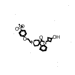 CS(=O)(=O)c1ccc(OCCN2CCC3(CC2)C(=O)N(C2CC(O)C2)c2ccccc23)cc1